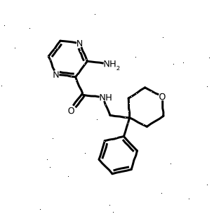 Nc1nccnc1C(=O)NCC1(c2ccccc2)CCOCC1